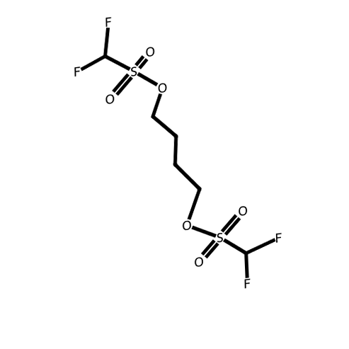 O=S(=O)(OCCCCOS(=O)(=O)C(F)F)C(F)F